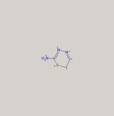 NC1=NN=CCS1